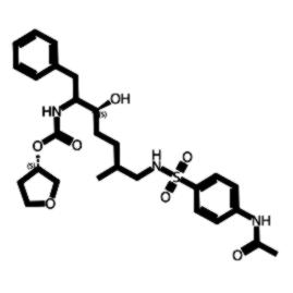 CC(=O)Nc1ccc(S(=O)(=O)NCC(C)CC[C@H](O)C(Cc2ccccc2)NC(=O)O[C@H]2CCOC2)cc1